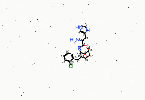 N[C@@H](Cc1c[nH]cn1)C1=NC2C(=O)C(CCC2Cc2ccccc2Cl)O1